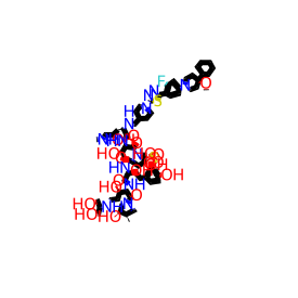 CNC[C@H](O)C[C@H](NCC1CCN(c2nnc(-c3ccc(N4CCC(OC)(C5CCCCC5)CC4)cc3F)s2)CC1)C(=O)N[C@H](C(=O)N1C[C@H](O)C[C@H]1C(=O)N[C@H](C(=O)N[C@H](C(=O)N1C[C@@H](O)[C@@H](C)C1)[C@H](O)CCNC(CO)CO)[C@H](O)Cc1ccc(O)c(OS(=O)(=O)O)c1)[C@@H](C)O